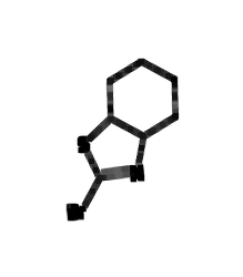 BrC1=NC2CCCCC2S1